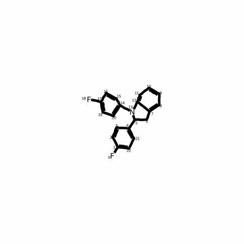 Fc1ccc(C2Cc3ccccc3N2c2ccc(F)cc2)cc1